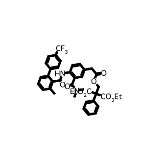 CCOC(=O)C(COC(=O)Cc1ccc(NC(=O)c2c(C)cccc2-c2ccc(C(F)(F)F)cc2)c(C(=O)N(C)C)c1)(C(=O)OCC)c1ccccc1